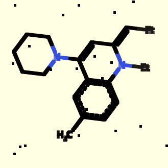 CC/C=C1/C=C(N2CCCCC2)c2cc(C)ccc2N1CC